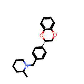 CC1CCCCN1Cc1ccc([C@H]2COc3ccccc3O2)cc1